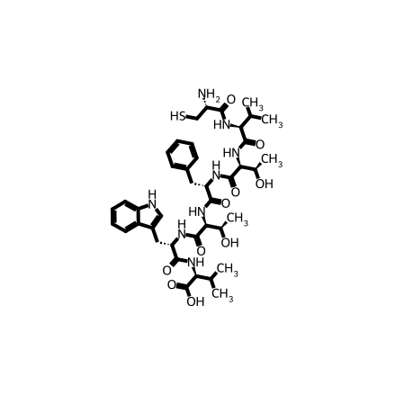 CC(C)[C@H](NC(=O)[C@H](Cc1c[nH]c2ccccc12)NC(=O)[C@@H](NC(=O)[C@H](Cc1ccccc1)NC(=O)[C@@H](NC(=O)[C@@H](NC(=O)[C@@H](N)CS)C(C)C)[C@@H](C)O)[C@@H](C)O)C(=O)O